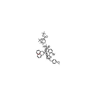 COc1ccc(Cn2nnc(-c3c(Br)ccc(S(=O)(=O)NC[C@@H](CNC(=O)OC(C)(C)C)O[Si](C)(C)C(C)(C)C)c3S(=O)(=O)N(Cc3ccccc3)Cc3ccccc3)n2)cc1